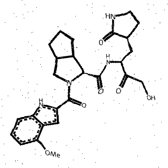 COc1cccc2[nH]c(C(=O)N3CC4CCCC4[C@H]3C(=O)NC(C[C@@H]3CCNC3=O)C(=O)CO)cc12